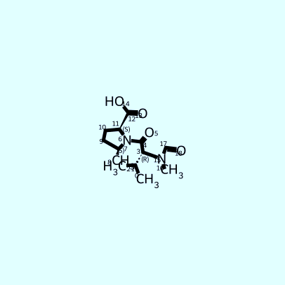 CC(C)[C@H](C(=O)N1[C@@H](C)CC[C@H]1C(=O)O)N(C)C=O